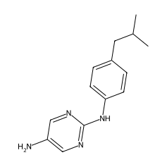 CC(C)Cc1ccc(Nc2ncc(N)cn2)cc1